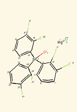 [Cl-].[Mg+2].[O-][Si](c1cccc(F)c1F)(c1cccc(F)c1F)c1cccc(F)c1F